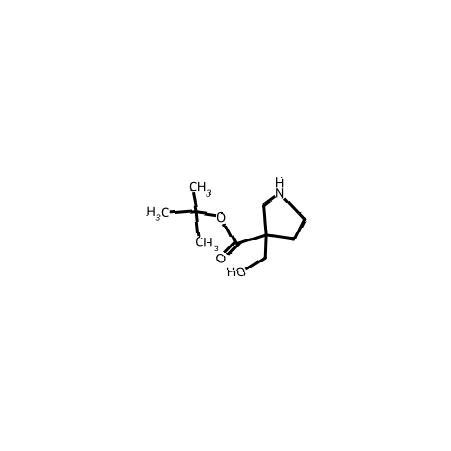 CC(C)(C)OC(=O)C1(CO)CCNC1